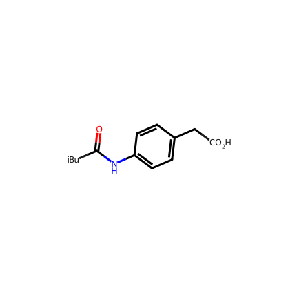 CCC(C)C(=O)Nc1ccc(CC(=O)O)cc1